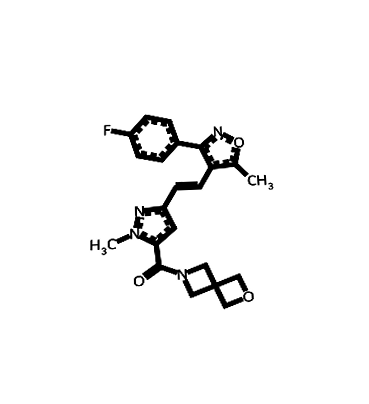 Cc1onc(-c2ccc(F)cc2)c1C=Cc1cc(C(=O)N2CC3(COC3)C2)n(C)n1